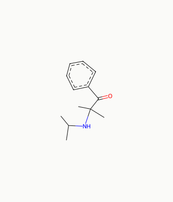 CC(C)NC(C)(C)C(=O)c1ccccc1